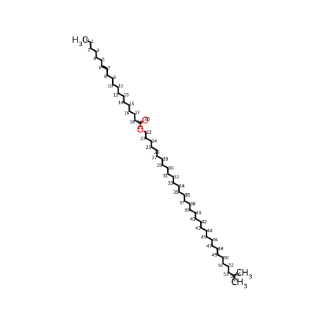 CCCCCCC=CCCCCCCCCCCCC(=O)OCCCCCCCCCCCCCCCCCCCCCCCCCCCCCCCCC(C)C